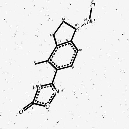 Cc1c(-c2noc(=O)[nH]2)ccc2c1CC[C@@H]2NCl